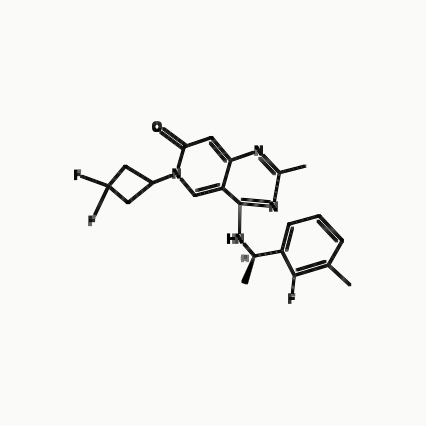 Cc1nc(N[C@H](C)c2cccc(C)c2F)c2cn(C3CC(F)(F)C3)c(=O)cc2n1